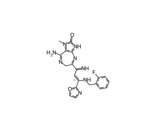 Cn1c2c([nH]c1=O)N=C(C(=N)/C=C(\NCc1ccccc1F)c1ncco1)CN=C2N